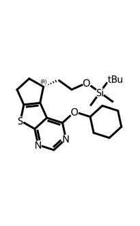 CC(C)(C)[Si](C)(C)OCC[C@H]1CCc2sc3ncnc(OC4CCCCC4)c3c21